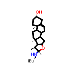 CC[C@@H](C)CN[C@]1(C)OC2CC3C4CC=C5C[C@@H](O)CC[C@]5(C)C4CC[C@]3(C)C2[C@@H]1C